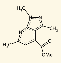 COC(=O)c1cc(C)nc2c1c(C)nn2C